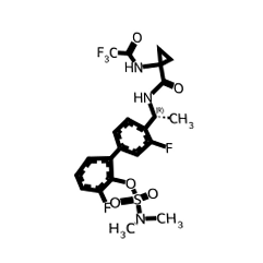 C[C@@H](NC(=O)C1(NC(=O)C(F)(F)F)CC1)c1ccc(-c2cccc(F)c2OS(=O)(=O)N(C)C)cc1F